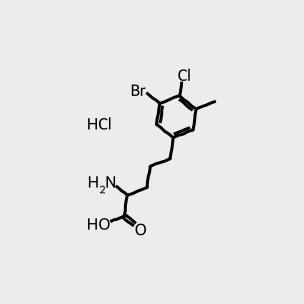 Cc1cc(CCCC(N)C(=O)O)cc(Br)c1Cl.Cl